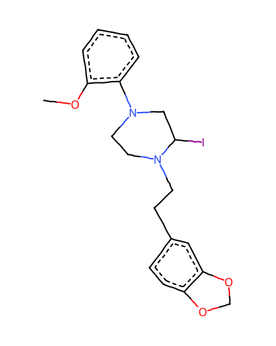 COc1ccccc1N1CCN(CCc2ccc3c(c2)OCO3)C(I)C1